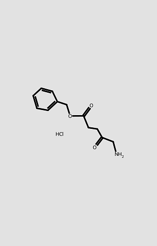 Cl.NCC(=O)CCC(=O)OCc1ccccc1